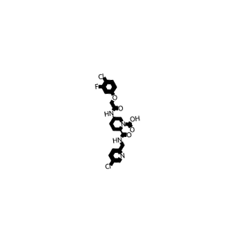 O=C(COc1ccc(Cl)c(F)c1)N[C@H]1CC[C@H](C(=O)NCc2ccc(Cl)cn2)N(C(=O)O)C1